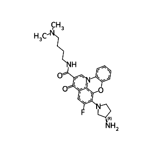 CN(C)CCCCNC(=O)c1cn2c3c(c(N4CC[C@@H](N)C4)c(F)cc3c1=O)Oc1ccccc1-2